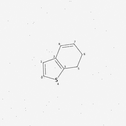 [c]1cc2c(s1)CCC=C2